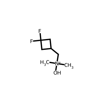 C[N+](C)(O)CC1CC(F)(F)C1